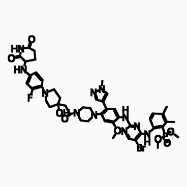 COc1cc(N2CCN(C(=O)CC3(O)CCN(c4ccc(NC5CCC(=O)NC5=O)cc4F)CC3)CC2)c(-c2cnn(C)c2)cc1Nc1ncc(Br)c(Nc2ccc(C)c(C)c2P(=O)(OC)OC)n1